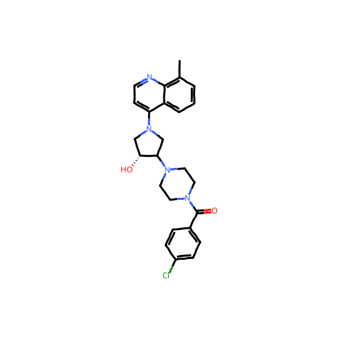 Cc1cccc2c(N3CC(N4CCN(C(=O)c5ccc(Cl)cc5)CC4)[C@H](O)C3)ccnc12